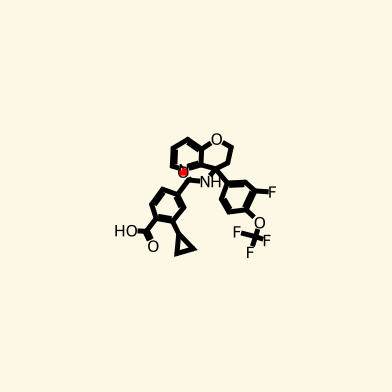 O=C(NC1(c2ccc(OC(F)(F)F)c(F)c2)CCOc2cccnc21)c1ccc(C(=O)O)c(C2CC2)c1